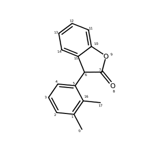 Cc1cccc(C2C(=O)Oc3ccccc32)c1C